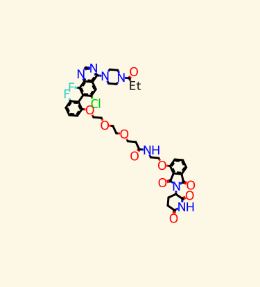 CCC(=O)N1CCN(c2ncnc3c(F)c(-c4c(F)cccc4OCCOCCOCCC(=O)NCCOc4cccc5c4C(=O)N(C4CCC(=O)NC4=O)C5=O)c(Cl)cc23)CC1